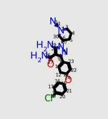 N#CN1CCC[C@@H](n2nc(C3=CCC(Oc4ccc(Cl)cc4)C=C3)c(C(N)=O)c2N)C1